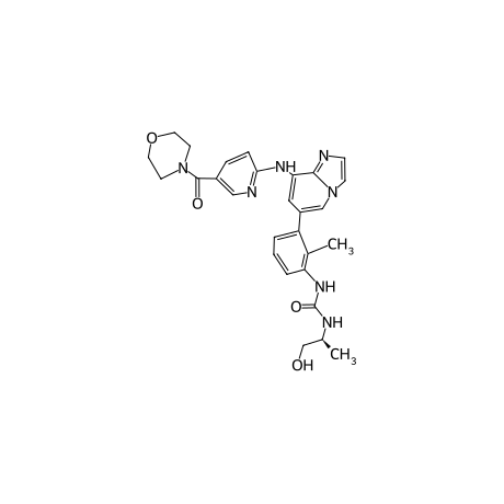 Cc1c(NC(=O)N[C@@H](C)CO)cccc1-c1cc(Nc2ccc(C(=O)N3CCOCC3)cn2)c2nccn2c1